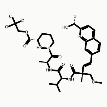 COC[C@@](C)(C=Cc1ccc2ccc([C@@H](C)O)nc2c1)C(=O)N[C@H](C(=O)N[C@@H](C)C(=O)N1CCC[C@@H](C(=O)OCC(Cl)(Cl)Cl)N1)C(C)C